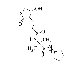 CC(C)(NC(=O)CCN1C(=O)SCC1O)C(=O)NC1CCCC1